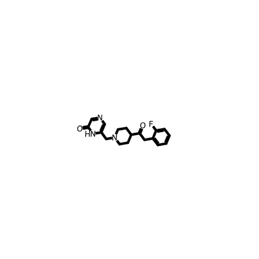 O=C(Cc1ccccc1F)C1CCN(Cc2cncc(=O)[nH]2)CC1